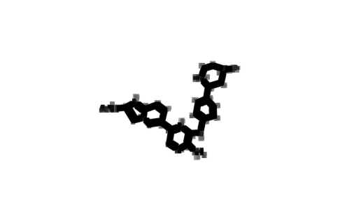 CC(=O)Nc1cn2cc(-c3cnc(N)c(Oc4ccc(C5CN(C(C)C)CCN5)cc4)n3)ccc2n1